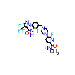 CNC(=O)c1ccc(N2CCN(Cc3ccc4c([nH]c(=O)c5c(C(F)(F)F)cnn54)c3F)CC2)c(F)n1